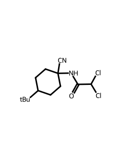 CC(C)(C)C1CCC(C#N)(NC(=O)C(Cl)Cl)CC1